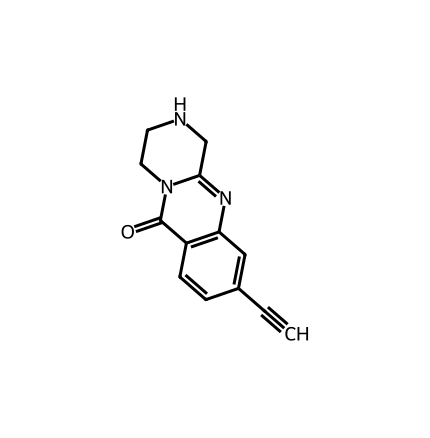 C#Cc1ccc2c(=O)n3c(nc2c1)CNCC3